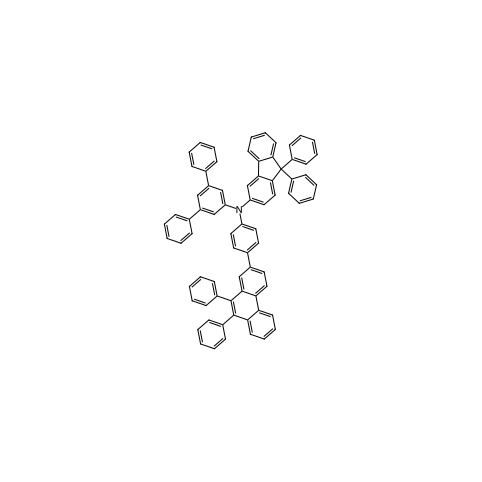 c1ccc(-c2cc(-c3ccccc3)cc(N(c3ccc(-c4ccc5c(c4)c(-c4ccccc4)c(-c4ccccc4)c4ccccc45)cc3)c3ccc4c(c3)-c3ccccc3C4(c3ccccc3)c3ccccc3)c2)cc1